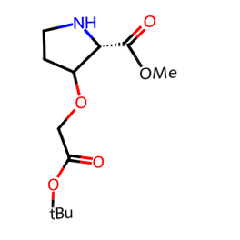 COC(=O)[C@H]1NCCC1OCC(=O)OC(C)(C)C